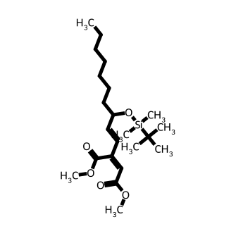 CCCCCCCC(C=CC(=CC(=O)OC)C(=O)OC)O[Si](C)(C)C(C)(C)C